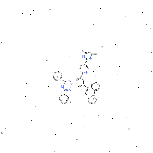 Cc1cc(C)nc(-c2ccc(-c3cc(-c4nc(-c5ccccc5)nc(-c5ccccc5)n4)cc(-c4cc5ccccc5c5ccccc45)c3)nc2)n1